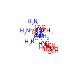 COC(=O)C(CCCCN)NC(=O)[C@H](CCCCN)NC(=O)[C@H](CCCCN)NC(=O)[C@@H](N)CCCCNC(=O)[C@@H](O)[C@H](O)[C@H](O)[C@@H](O)C(=O)O